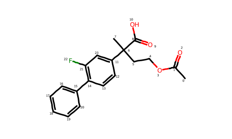 CC(=O)OCCC(C)(C(=O)O)c1ccc(-c2ccccc2)c(F)c1